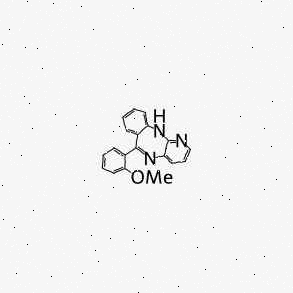 COc1ccccc1C1=Nc2cccnc2Nc2ccccc21